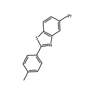 Cc1ccc(-c2nc3cc(C(C)C)ccc3s2)cc1